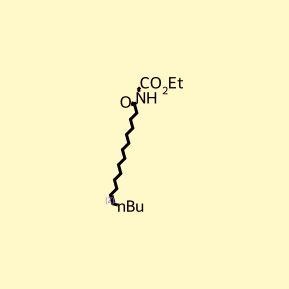 CCCC/C=C\CCCCCCCCCCCC(=O)NCC(=O)OCC